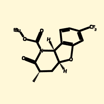 C[C@H]1C[C@@H]2Oc3cc(C(F)(F)F)ccc3[C@@H]2N(C(=O)OC(C)(C)C)C1=O